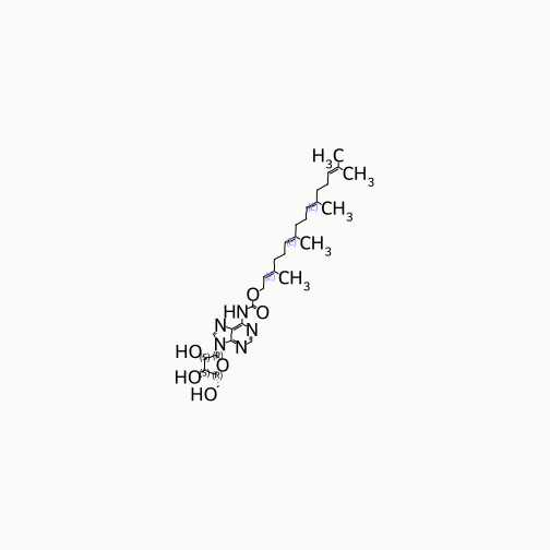 CC(C)=CCC/C(C)=C/CC/C(C)=C/CC/C(C)=C/COC(=O)Nc1ncnc2c1ncn2[C@@H]1O[C@H](CO)[C@@H](O)[C@@H]1O